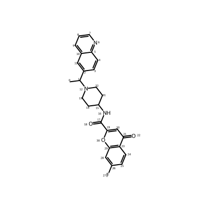 CC(c1ccc2ncccc2c1)N1CCC(NC(=O)c2cc(=O)c3ccc(F)cc3o2)CC1